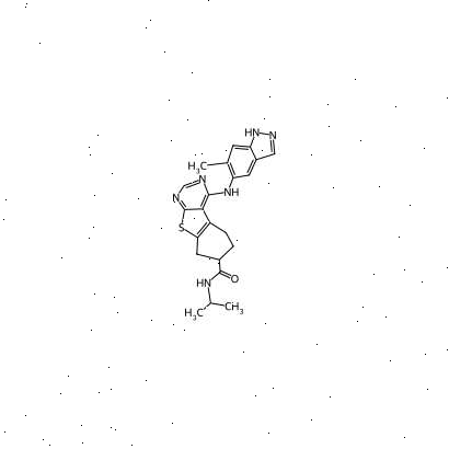 Cc1cc2[nH]ncc2cc1Nc1ncnc2sc3c(c12)CCC(C(=O)NC(C)C)C3